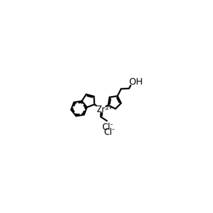 C[CH]=[Zr+2]([C]1=CC(CCO)=CC1)[CH]1C=Cc2ccccc21.[Cl-].[Cl-]